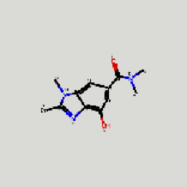 CCc1nc2c(O)cc(C(=O)N(C)C)cc2n1C